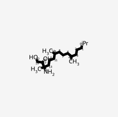 CC(C)CCCC(C)CCCC(C)CCCC(C)(N)C(O)CO